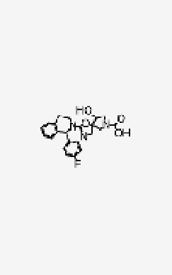 O=C(O)N1C[C@H](O)C2(CN=C(N3CCc4ccccc4[C@@H]3c3ccc(F)cc3)O2)C1